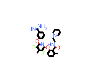 Cc1cccc(Oc2nc(Oc3cccc(C(=N)N)c3)c(F)c(C)c2F)c1C(=O)NCCN1C=CC=CC1